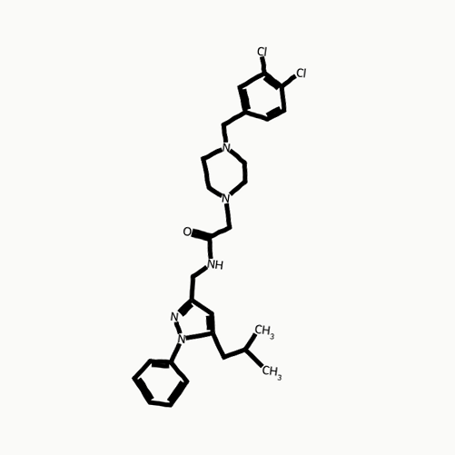 CC(C)Cc1cc(CNC(=O)CN2CCN(Cc3ccc(Cl)c(Cl)c3)CC2)nn1-c1ccccc1